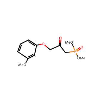 COc1cccc(OCC(=O)CP(=O)(OC)OC)c1